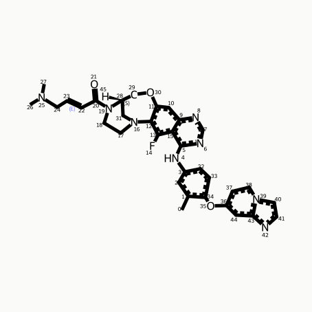 Cc1cc(Nc2ncnc3cc4c(c(F)c23)N2CCN(C(=O)/C=C/CN(C)C)[C@H](CO4)C2)ccc1Oc1ccn2ccnc2c1